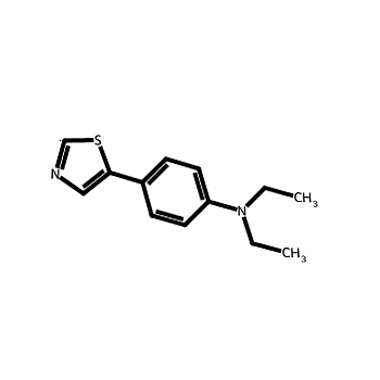 CCN(CC)c1ccc(-c2cn[c]s2)cc1